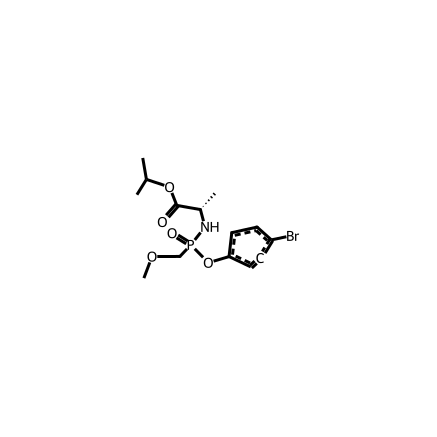 COCP(=O)(N[C@@H](C)C(=O)OC(C)C)Oc1ccc(Br)cc1